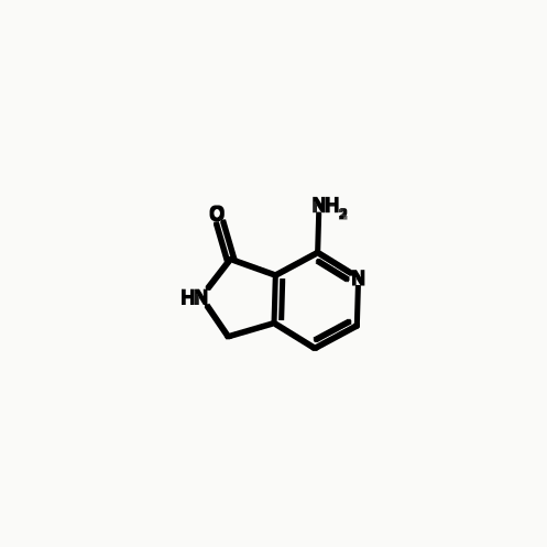 Nc1nccc2c1C(=O)NC2